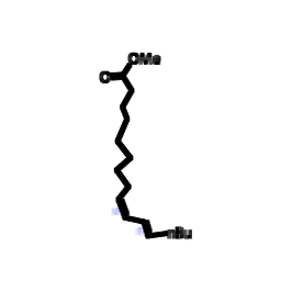 CCCC/C=C/C=C\CCCCCCCC(=O)OC